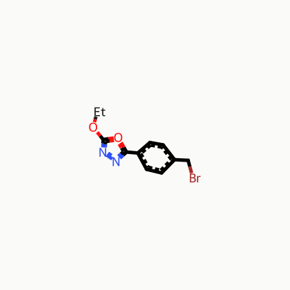 CCOc1nnc(-c2ccc(CBr)cc2)o1